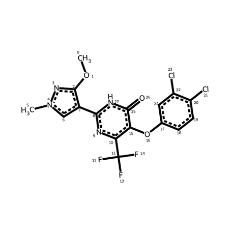 COc1nn(C)cc1-c1nc(C(F)(F)F)c(Oc2ccc(Cl)c(Cl)c2)c(=O)[nH]1